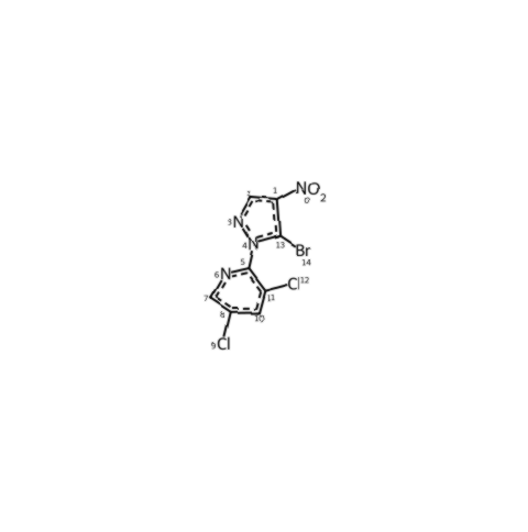 O=[N+]([O-])c1cnn(-c2ncc(Cl)cc2Cl)c1Br